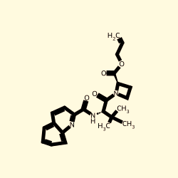 C=CCOC(=O)[C@H]1CCN1C(=O)[C@@H](NC(=O)c1ccc2ccccc2n1)C(C)(C)C